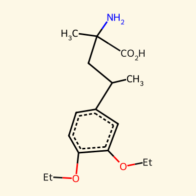 CCOc1ccc(C(C)CC(C)(N)C(=O)O)cc1OCC